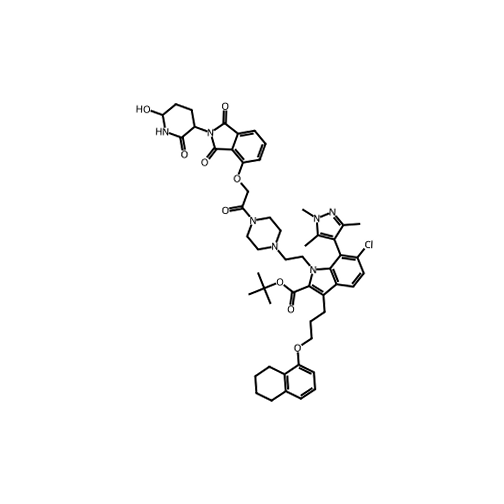 Cc1nn(C)c(C)c1-c1c(Cl)ccc2c(CCCOc3cccc4c3CCCC4)c(C(=O)OC(C)(C)C)n(CCN3CCN(C(=O)COc4cccc5c4C(=O)N(C4CCC(O)NC4=O)C5=O)CC3)c12